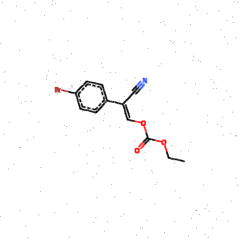 CCOC(=O)O/C=C(\C#N)c1ccc(Br)cc1